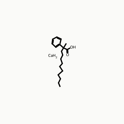 CCCCCCCCCCC(C)(C(=O)O)c1ccccc1.[CaH2]